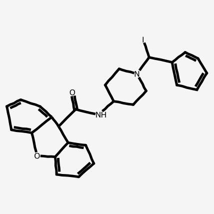 O=C(NC1CCN(C(I)c2ccccc2)CC1)C1c2ccccc2Oc2ccccc21